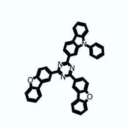 c1ccc(-n2c3ccccc3c3ccc(-c4nc(-c5ccc6oc7ccccc7c6c5)nc(-c5ccc6oc7ccccc7c6c5)n4)cc32)cc1